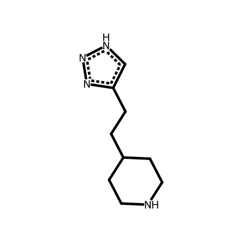 c1[nH]nnc1CCC1CCNCC1